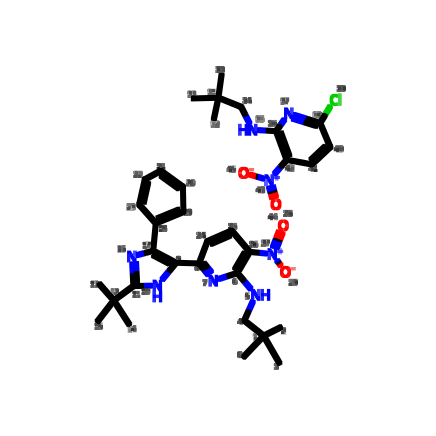 CC(C)(C)CNc1nc(-c2[nH]c(C(C)(C)C)nc2-c2ccccc2)ccc1[N+](=O)[O-].CC(C)(C)CNc1nc(Cl)ccc1[N+](=O)[O-]